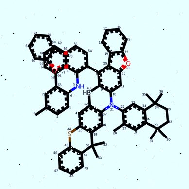 Cc1ccc(Nc2c(-c3c4c(cc5oc6ccccc6c35)N(c3cc5c(cc3C)C(C)(C)CCC5(C)C)c3cc5c(cc3B4)Sc3ccccc3C5(C)C)ccc3c2oc2ccccc23)c(-c2ccccc2)c1